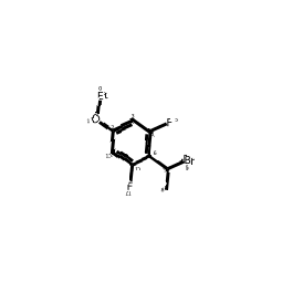 CCOc1cc(F)c(C(C)Br)c(F)c1